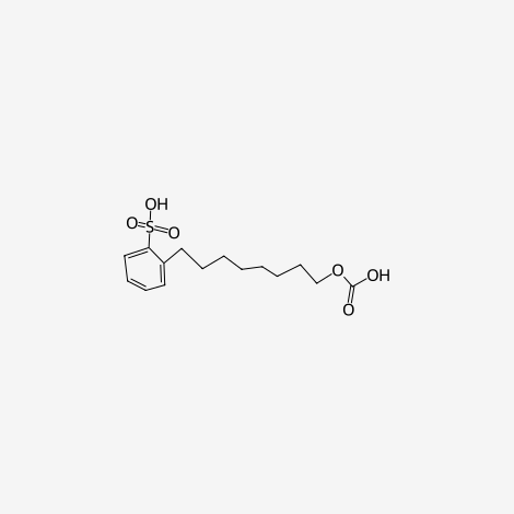 O=C(O)OCCCCCCCCc1ccccc1S(=O)(=O)O